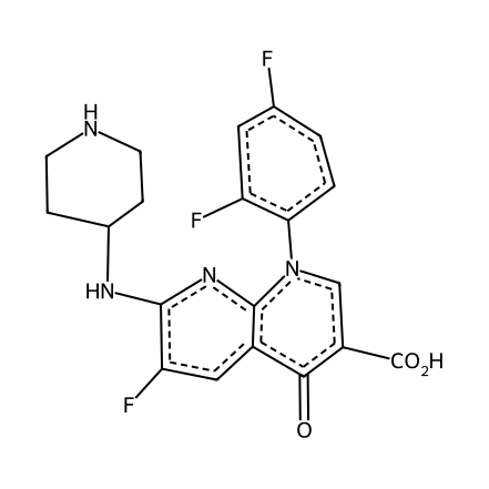 O=C(O)c1cn(-c2ccc(F)cc2F)c2nc(NC3CCNCC3)c(F)cc2c1=O